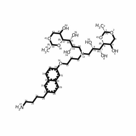 C[C@@H]1OCC(O)[C@H]([C@H](O)[C@@H](O)CN(CCCOc2ccc3cc(CCCCN)ccc3c2)C[C@H](O)[C@@H](O)[C@@H]2O[C@H](C)OCC2O)O1